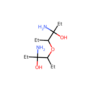 CCC(OC(CC)C(N)(O)CC)C(N)(O)CC